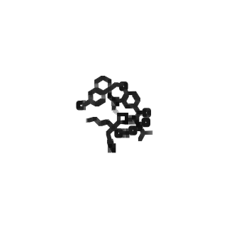 CC/C=C/[C@@](O)(CC#N)[C@@H]1CC[C@H]1CN1C[C@@]2(CCCc3cc(Cl)ccc32)COc2ccc(C(=O)NS(=O)(=O)C(C)C)cc21